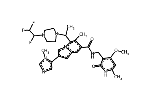 COc1cc(C)[nH]c(=O)c1CNC(=O)c1cc2cc(-c3cncn3C)cn2c(C(C)N2CCN(C(F)C(F)F)CC2)c1C